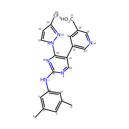 Cc1cc(C)cc(Nc2ncc(-c3cncc(C(=O)O)c3)c(-n3ccc(C(F)(F)F)n3)n2)c1